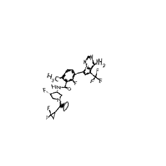 Cc1ccc(-c2cc(C(F)(F)F)c3c(N)ncnn23)c(F)c1C(=O)N[C@@H]1CN(C(=O)C2CC2(F)F)C[C@@H]1F